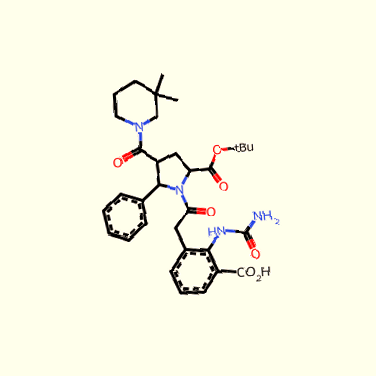 CC1(C)CCCN(C(=O)C2CC(C(=O)OC(C)(C)C)N(C(=O)Cc3cccc(C(=O)O)c3NC(N)=O)C2c2ccccc2)C1